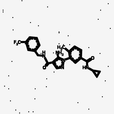 Cc1ccc(C(=O)NC2CC2)cc1-n1ncc(C(=O)NCc2cccc(C(F)(F)F)c2)c1N